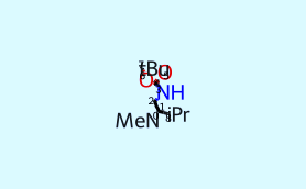 CNC(CNC(=O)OC(C)(C)C)C(C)C